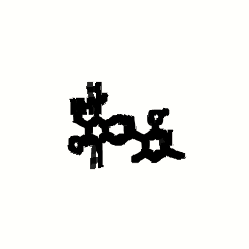 CNc1c(C=N)c(=O)[nH]c2cc(-c3c(C)cc(C)nc3OC)ccc12